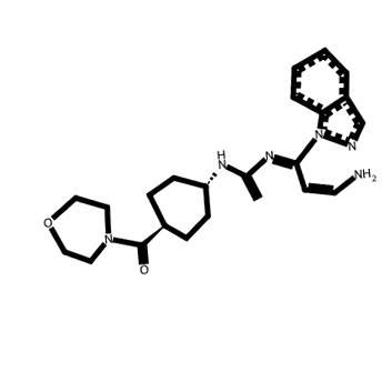 C=C(/N=C(\C=C/N)n1ncc2ccccc21)N[C@H]1CC[C@H](C(=O)N2CCOCC2)CC1